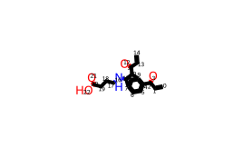 C=CC(=O)c1ccc2cc1C(C(=O)C=C)C2NCCCC(=O)O